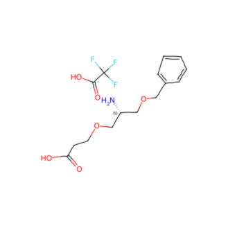 N[C@@H](COCCC(=O)O)COCc1ccccc1.O=C(O)C(F)(F)F